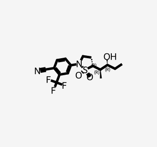 CC[C@@H](O)[C@@H](C)[C@H]1CCN(c2ccc(C#N)c(C(F)(F)F)c2)S1(=O)=O